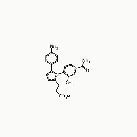 Cc1cc(C(N)=O)ccc1-n1c(CCC(=O)O)ccc1-c1ccc(N)cc1